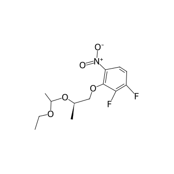 CCOC(C)O[C@H](C)COc1c([N+](=O)[O-])ccc(F)c1F